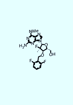 CNc1nc(N)nc2c1ncn2[C@@H]1O[C@H](CO)[C@@H](OCc2c(F)cccc2F)[C@@]1(C)F